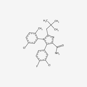 Cc1ccc(Cl)cc1-n1c(CC(C)(C)C)nc(C(N)=O)c1-c1ccc(F)c(Cl)c1